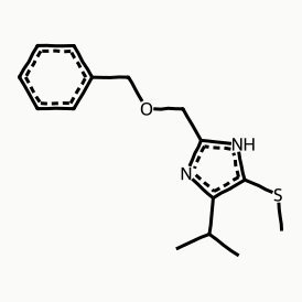 CSc1[nH]c(COCc2ccccc2)nc1C(C)C